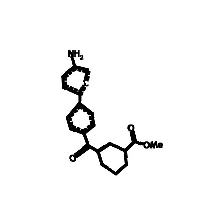 COC(=O)C1CCCC(C(=O)c2ccc(-c3ccc(N)cc3)cc2)C1